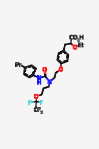 CCOC(Cc1ccc(OCCN(CCCOC(F)(F)C(F)(F)F)C(=O)Nc2ccc(C(C)C)cc2)cc1)C(=O)O